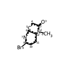 Cn1c(=O)c[c]c2nc(Br)ccc21